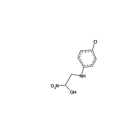 O=[N+]([O-])C(O)CNc1ccc(Cl)cc1